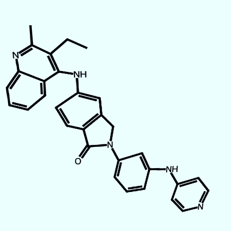 CCc1c(C)nc2ccccc2c1Nc1ccc2c(c1)CN(c1cccc(Nc3ccncc3)c1)C2=O